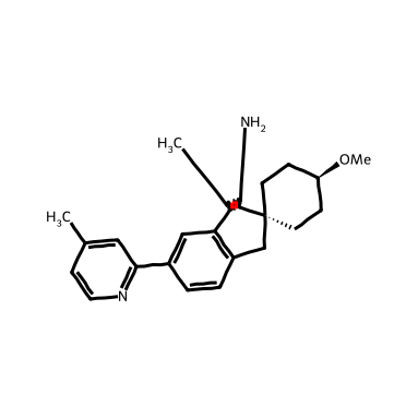 CO[C@H]1CC[C@]2(CC1)Cc1ccc(-c3cc(C)ccn3)cc1C21N=C(C)C(N)=N1